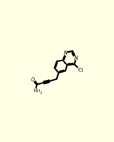 NC(=O)C#CCc1ccc2ncnc(Cl)c2c1